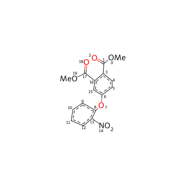 COC(=O)c1ccc(Oc2ccccc2[N+](=O)[O-])cc1C(=O)OC